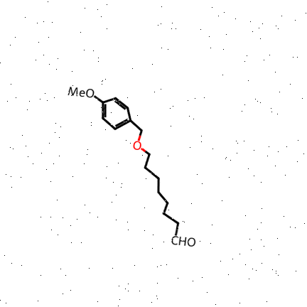 COc1ccc(COCCCCCCCC=O)cc1